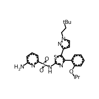 CC(C)Oc1ccccc1-c1nc(NS(=O)(=O)c2cccc(N)n2)sc1-c1ccn(CCC(C)(C)C)n1